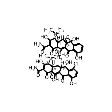 CN(C)[C@@H]1C(O)=C(C(N)=O)C(=O)[C@@]2(O)C(O)=C3C(=O)c4c(O)ccc(Cl)c4[C@@H](O)[C@H]3C[C@@H]12.CN(C)[C@@H]1C(O)=C(C(N)=O)C(=O)[C@@]2(O)C(O)=C3C(=O)c4c(O)cccc4[C@@](C)(O)[C@H]3C[C@@H]12